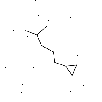 CC(C)CCC[C]1CC1